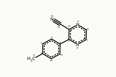 Cc1ccc(-c2nccnc2C#N)cc1